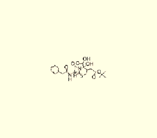 CC(C)(C)OC(=O)CC1CS[C@@H]2[C@H](NC(=O)Cc3ccccc3)C(=O)N2C1(O)C(=O)O